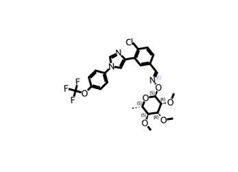 CO[C@@H]1[C@@H](OC)[C@H](C)O[C@@H](O/N=C/c2ccc(Cl)c(-c3cn(-c4ccc(OC(F)(F)F)cc4)cn3)c2)[C@@H]1OC